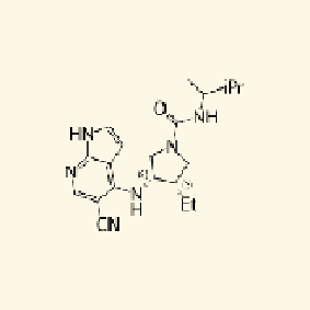 CC[C@H]1CN(C(=O)NC(C)C(C)C)C[C@H]1Nc1c(C#N)cnc2[nH]ccc12